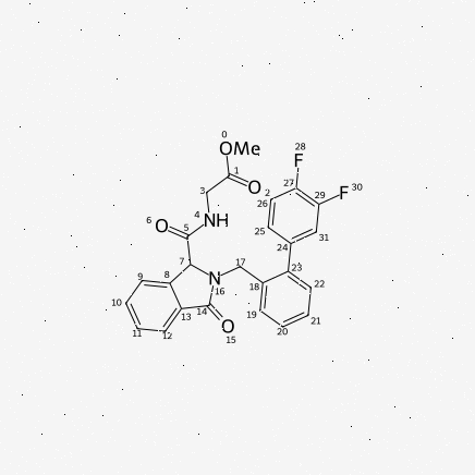 COC(=O)CNC(=O)C1c2ccccc2C(=O)N1Cc1ccccc1-c1ccc(F)c(F)c1